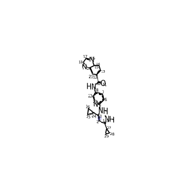 N=C(/C=C(\Nc1ccc(NC(=O)C2=CCC3N=CC=NC3=C2)cn1)C1CC1)C1CC1